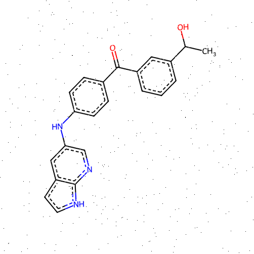 CC(O)c1cccc(C(=O)c2ccc(Nc3cnc4[nH]ccc4c3)cc2)c1